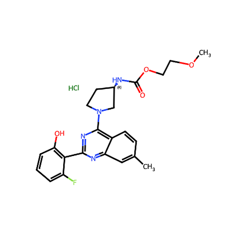 COCCOC(=O)N[C@@H]1CCN(c2nc(-c3c(O)cccc3F)nc3cc(C)ccc23)C1.Cl